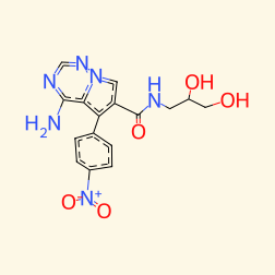 Nc1ncnn2cc(C(=O)NCC(O)CO)c(-c3ccc([N+](=O)[O-])cc3)c12